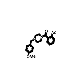 COc1ccc(CN2CCN(C(=O)c3ccccc3C(C)=O)CC2)cc1